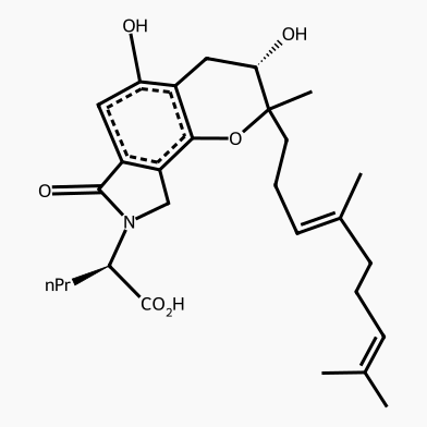 CCC[C@H](C(=O)O)N1Cc2c(cc(O)c3c2OC(C)(CC/C=C(\C)CCC=C(C)C)[C@@H](O)C3)C1=O